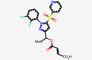 CNC(OC(=O)/C=C/C(=O)O)c1cc(S(=O)(=O)c2cccnc2)n(-c2cccc(F)c2F)n1